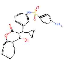 Nc1ccc(S(=O)(=O)Nc2cccc(C(C3CC3)C3C(=O)OC4=CC=CCCCC4C3O)c2)cc1